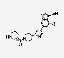 COc1cc(-c2cnn(C3CCN(C(=O)[C@@H]4CCCNC4)CC3)c2)cn2ncc(C#N)c12